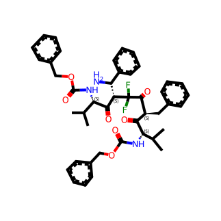 CC(C)[C@H](NC(=O)OCc1ccccc1)C(=O)[C@H](Cc1ccccc1)C(=O)C(F)(F)[C@H](C(=O)[C@@H](NC(=O)OCc1ccccc1)C(C)C)C(N)c1ccccc1